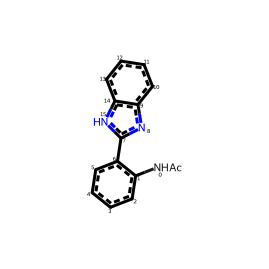 CC(=O)Nc1ccccc1-c1nc2ccccc2[nH]1